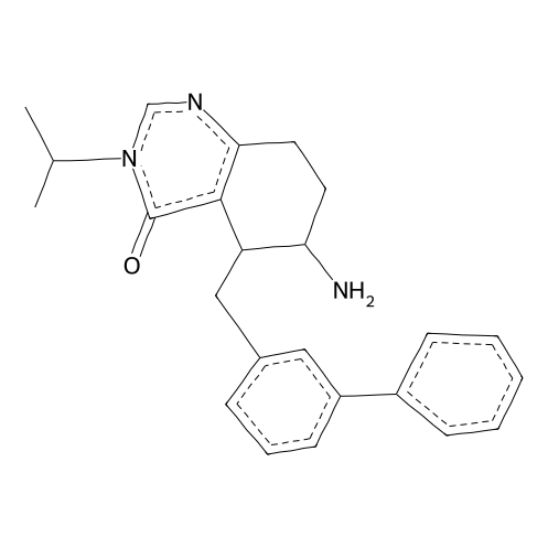 CC(C)n1cnc2c(c1=O)C(Cc1cccc(-c3ccccc3)c1)C(N)CC2